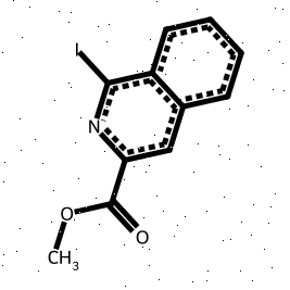 COC(=O)c1cc2ccccc2c(I)n1